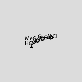 COc1cc(-n2ccc(OCc3ccc(Cl)cn3)cc2=O)ccc1OC[C@H](O)C1CC1